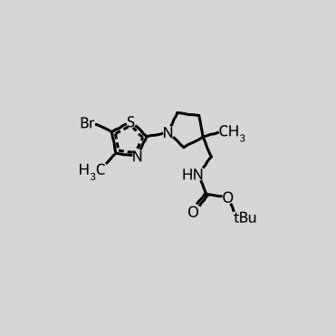 Cc1nc(N2CCC(C)(CNC(=O)OC(C)(C)C)C2)sc1Br